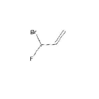 C=C[C](F)Br